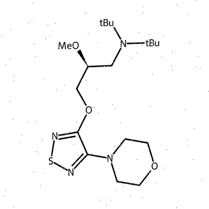 CO[C@H](COc1nsnc1N1CCOCC1)CN(C(C)(C)C)C(C)(C)C